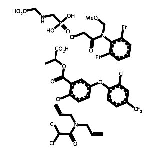 C=CCN(CC=C)C(=O)C(Cl)Cl.CCc1cccc(CC)c1N(COC)C(=O)CCl.C[C@H](OC(=O)c1cc(Oc2ccc(C(F)(F)F)cc2Cl)ccc1Cl)C(=O)O.O=C(O)CNCP(=O)(O)O